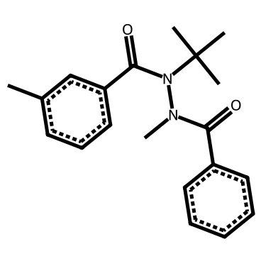 Cc1cccc(C(=O)N(N(C)C(=O)c2ccccc2)C(C)(C)C)c1